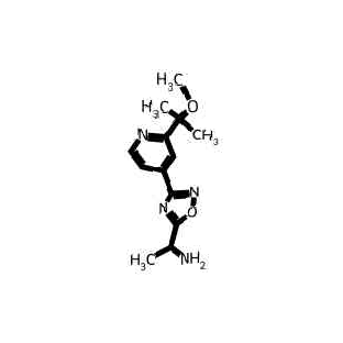 COC(C)(C)c1cc(-c2noc(C(C)N)n2)ccn1